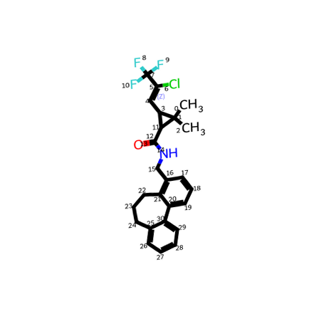 CC1(C)C(/C=C(\Cl)C(F)(F)F)C1C(=O)NCc1cccc2c1CCCc1ccccc1-2